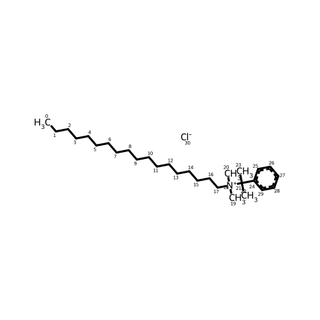 CCCCCCCCCCCCCCCCCC[N+](C)(C)C(C)(C)c1ccccc1.[Cl-]